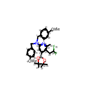 COc1ccc(CN(Cc2ccc(OC)cc2)c2cc(B3OC(C)(C)C(C)(C)O3)c(CC(F)F)c(C)n2)cc1